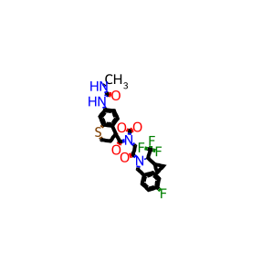 CNC(=O)Nc1ccc2c(c1)SCCC21OC(=O)N(CC(=O)N(Cc2ccc(F)cc2)[C@@H](C2CC2)C(F)(F)F)C1=O